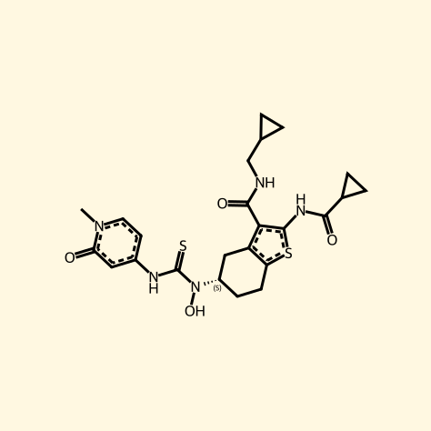 Cn1ccc(NC(=S)N(O)[C@H]2CCc3sc(NC(=O)C4CC4)c(C(=O)NCC4CC4)c3C2)cc1=O